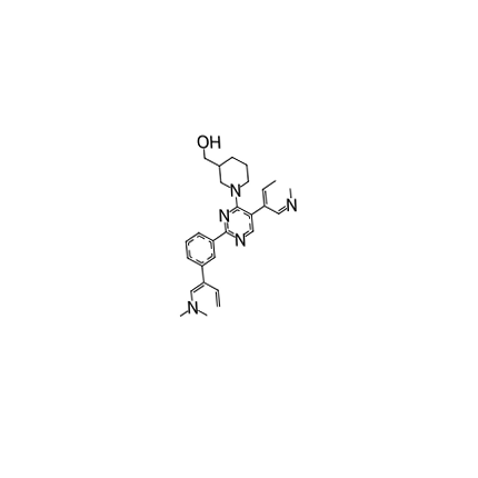 C=C/C(=C\N(C)C)c1cccc(-c2ncc(C(/C=N\C)=C/C)c(N3CCCC(CO)C3)n2)c1